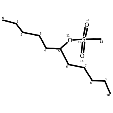 CCCCCC(CCCCC)OS(C)(=O)=O